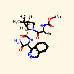 CC(C)(C)OC(=O)NC(C(=O)N1C[C@H]2[C@@H]([C@H]1C(=O)NC(C(N)=O)c1nncc3ccccc13)C2(C)C)C(C)(C)C